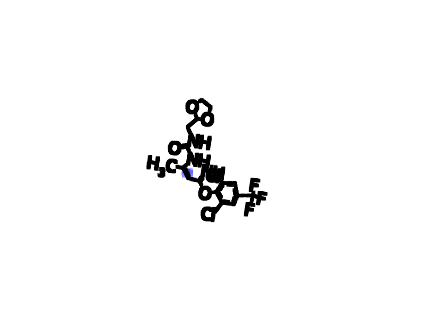 C/C(=C/C(=N)Oc1c(Cl)cc(C(F)(F)F)cc1Cl)NC(=O)NCC1OCCO1